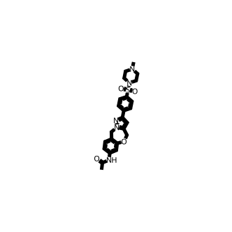 CC(=O)Nc1ccc2c(c1)OCc1cc(-c3ccc(S(=O)(=O)N4CCN(C)CC4)cc3)nn1C2